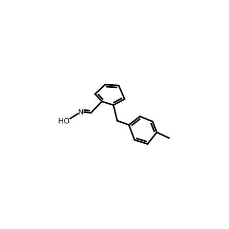 Cc1ccc(Cc2ccccc2C=NO)cc1